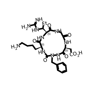 CCC(NC(=N)N)[C@@H]1NC(=O)[C@H](CCCCN)NC(=O)N(Cc2ccccc2)NC(=O)[C@H](CC(=O)O)NC(=O)CNC1=O